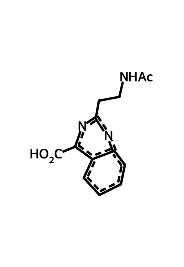 CC(=O)NCCc1nc(C(=O)O)c2ccccc2n1